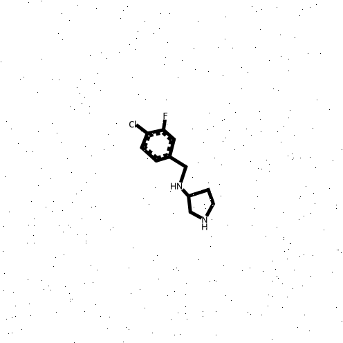 Fc1cc(CNC2CCNC2)ccc1Cl